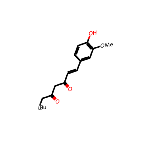 COc1cc(/C=C/C(=O)CC(=O)CC(C)(C)C)ccc1O